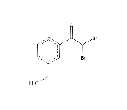 CCc1cccc(C(=O)C(Br)Br)c1